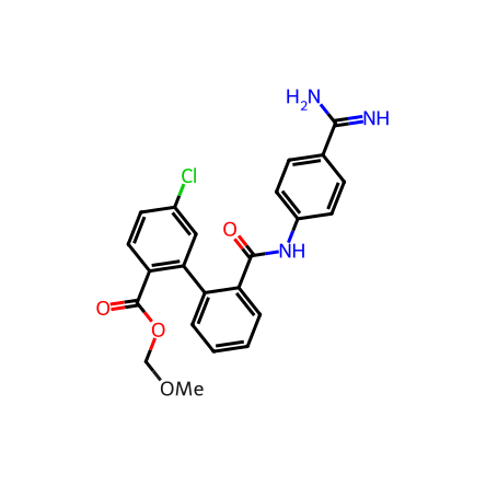 COCOC(=O)c1ccc(Cl)cc1-c1ccccc1C(=O)Nc1ccc(C(=N)N)cc1